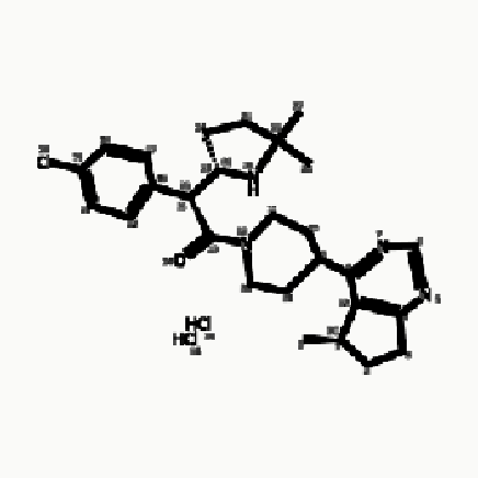 C[C@@H]1CCc2ncnc(C3CCN(C(=O)[C@@H](c4ccc(Cl)cc4)[C@@H]4CCC(C)(C)N4)CC3)c21.Cl.Cl